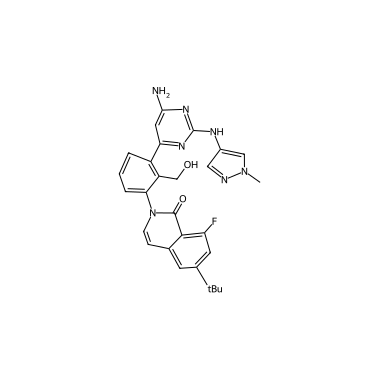 Cn1cc(Nc2nc(N)cc(-c3cccc(-n4ccc5cc(C(C)(C)C)cc(F)c5c4=O)c3CO)n2)cn1